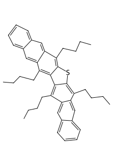 CCCCc1c2cc3ccccc3cc2c(CCCC)c2c1sc1c(CCCC)c3cc4ccccc4cc3c(CCCC)c12